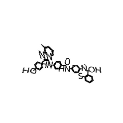 Cc1cccn2c(Nc3ccc(C(=O)Nc4ccc5c(c4)Sc4ccccc4C(O)N5C)cc3)c(-c3ccc(O)cc3)nc12